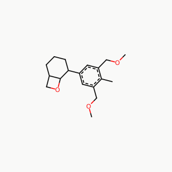 COCc1cc(C2CCCC3COC32)cc(COC)c1C